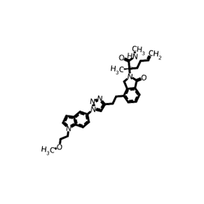 C=CCC[C@@](C)(C(=O)NC)N1Cc2c(CCc3cn(-c4ccc5c(ccn5CCOC)c4)nn3)cccc2C1=O